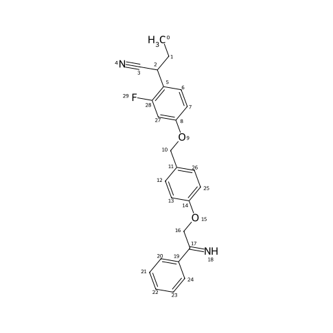 CCC(C#N)c1ccc(OCc2ccc(OCC(=N)c3ccccc3)cc2)cc1F